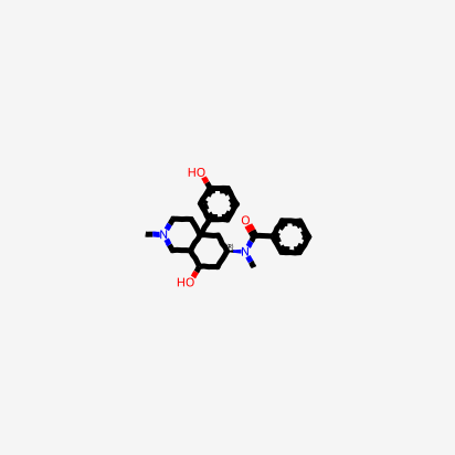 CN1CCC2(c3cccc(O)c3)C[C@@H](N(C)C(=O)c3ccccc3)CC(O)C2C1